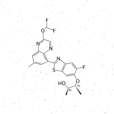 Cc1cc(-c2nc3cc(F)c(O[C@@H](C)[C@@H](C)O)cc3s2)c2ncc(OC(F)F)nc2c1